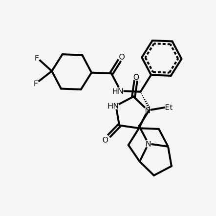 CCN1C(=O)NC(=O)C12CC1CCC(C2)N1CC[C@H](NC(=O)C1CCC(F)(F)CC1)c1ccccc1